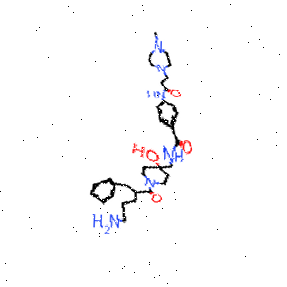 CN1CCN(CCC(=O)Nc2ccc(C(=O)NCC3(O)CCN(C(=O)C(CCCN)Cc4ccccc4)CC3)cc2)CC1